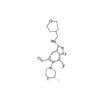 C[C@@H]1CN(c2c(C=O)cc3c(NCC4CCOCC4)noc3c2F)C[C@H](C)O1